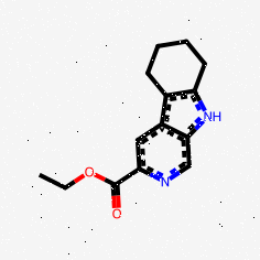 CCOC(=O)c1cc2c3c([nH]c2cn1)CCCC3